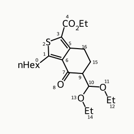 CCCCCCc1sc(C(=O)OCC)c2c1C(=O)C(C(OCC)OCC)CC2